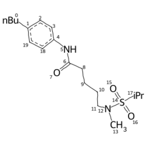 CCCCc1ccc(NC(=O)CCCCN(C)S(=O)(=O)C(C)C)cc1